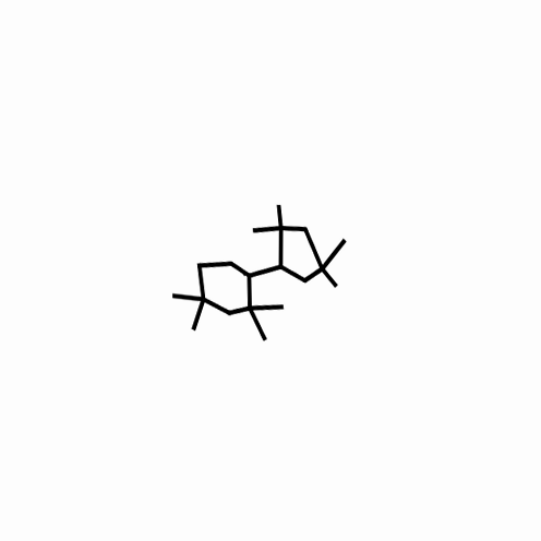 CC1(C)CC[C](C2CC(C)(C)CC2(C)C)C(C)(C)C1